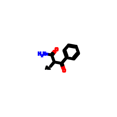 CC(=O)C(C(N)=O)C(=O)c1ccccc1